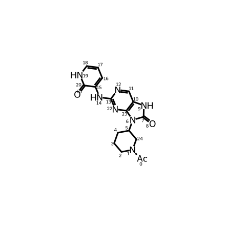 CC(=O)N1CCCC(n2c(=O)[nH]c3cnc(Nc4ccc[nH]c4=O)nc32)C1